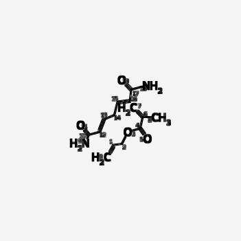 C=CCOC(=O)C(=C)C.NC(=O)C=CCC=CC(N)=O